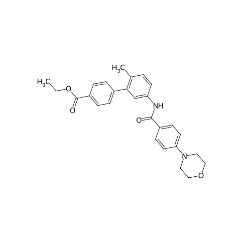 CCOC(=O)c1ccc(-c2cc(NC(=O)c3ccc(N4CCOCC4)cc3)ccc2C)cc1